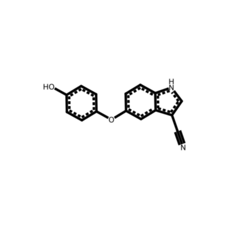 N#Cc1c[nH]c2ccc(Oc3ccc(O)cc3)cc12